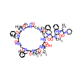 CC(C)C[C@H]1C(=O)N(C)[C@@H](Cc2ccccc2)C(=O)NCC(=O)N(C)[C@@H](Cc2ccccc2)C(=O)N(C)[C@@H](C)C(=O)N[C@@H]([C@@H](C)O)C(=O)N[C@H](C(=O)N(C)[C@@H](Cc2ccccc2)C(=O)N(C)[C@@H](Cc2ccccc2)C(=O)N[C@@H](C)C(=O)N2CCCCC2)CC(=O)N(C)CCC(=O)N[C@@H](C(C)C)C(=O)N1C